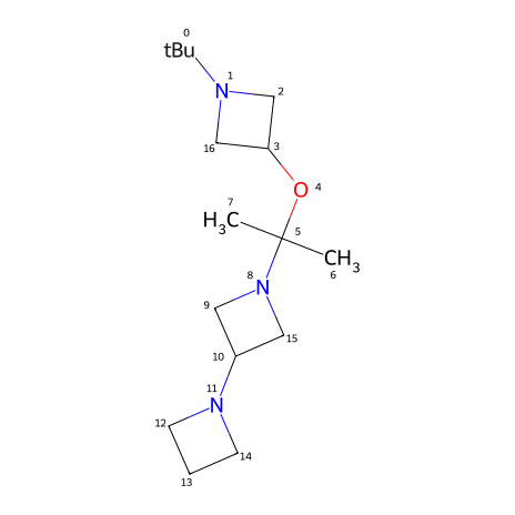 CC(C)(C)N1CC(OC(C)(C)N2CC(N3CCC3)C2)C1